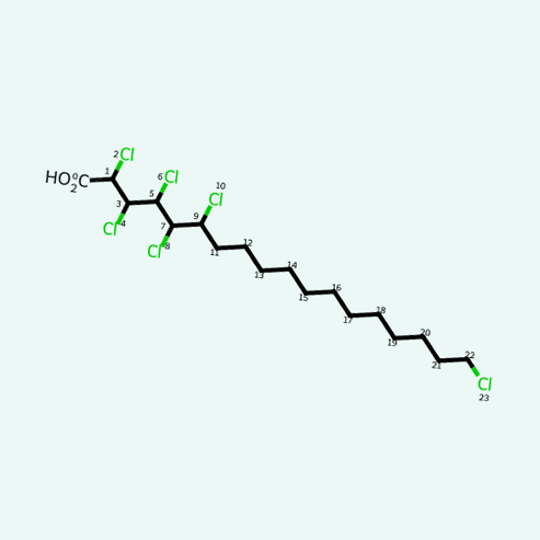 O=C(O)C(Cl)C(Cl)C(Cl)C(Cl)C(Cl)CCCCCCCCCCCCCl